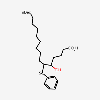 CCCCCCCCCCCCCCCCCCC([Se]c1ccccc1)C(O)CCCC(=O)O